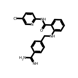 N=C(N)c1ccc(CNc2ccccc2C(=O)Nc2ccc(Cl)cn2)cc1